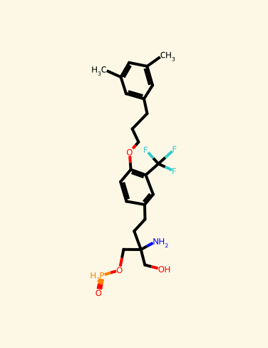 Cc1cc(C)cc(CCCOc2ccc(CCC(N)(CO)CO[PH2]=O)cc2C(F)(F)F)c1